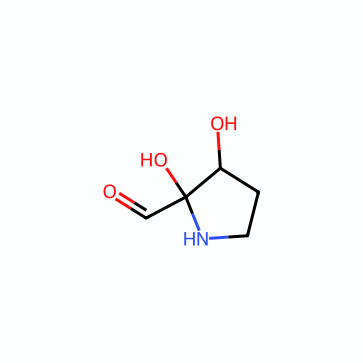 O=CC1(O)NCCC1O